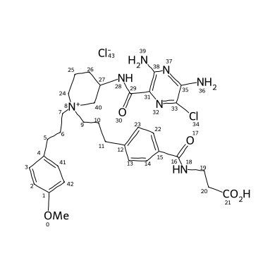 COc1ccc(CCC[N+]2(CCCc3ccc(C(=O)NCCC(=O)O)cc3)CCCC(NC(=O)c3nc(Cl)c(N)nc3N)C2)cc1.[Cl-]